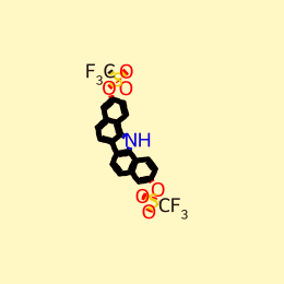 O=S(=O)(Oc1ccc2c(ccc3c4ccc5cc(OS(=O)(=O)C(F)(F)F)ccc5c4[nH]c23)c1)C(F)(F)F